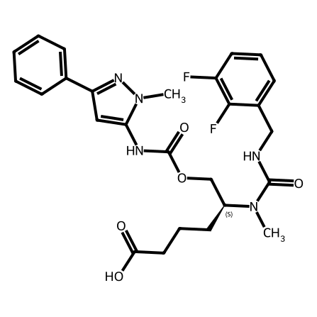 CN(C(=O)NCc1cccc(F)c1F)[C@@H](CCCC(=O)O)COC(=O)Nc1cc(-c2ccccc2)nn1C